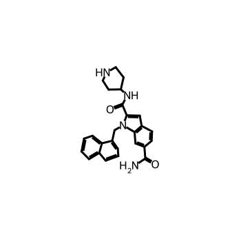 NC(=O)c1ccc2cc(C(=O)NC3CCNCC3)n(Cc3cccc4ccccc34)c2c1